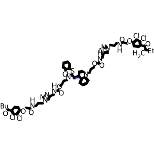 C=C(CC)C(=O)c1ccc(OCC(=O)NCCCn2cc(CNC(=O)OCCCN3C=C/C(=C\C(=N/CCCOC(=O)NCc4cn(CCCNC(=O)COc5ccc(C(=O)C(C)CC)c(Cl)c5Cl)nn4)Sc4ccccc4C)c4ccccc43)nn2)c(Cl)c1Cl